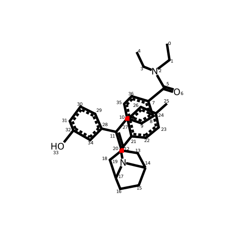 CCN(CC)C(=O)c1ccc(C(=C2CC3CCC(C2)N3Cc2ccc(C)cc2)c2cccc(O)c2)cc1